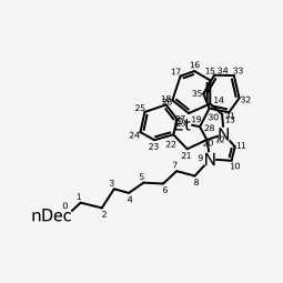 CCCCCCCCCCCCCCCCCCN1C=CN(Cc2ccccc2)C1(Cc1ccccc1)C(CC)c1ccccc1